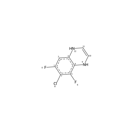 Fc1cc2c(c(F)c1Cl)NC=CN2